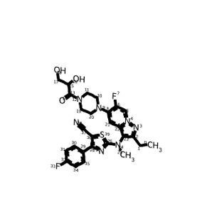 CCc1nn2cc(F)c(N3CCN(C(=O)C(O)CO)CC3)cc2c1N(C)c1nc(-c2ccc(F)cc2)c(C#N)s1